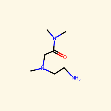 CN(CCN)CC(=O)N(C)C